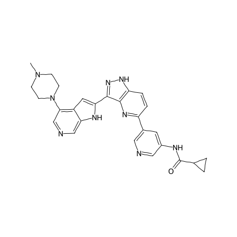 CN1CCN(c2cncc3[nH]c(-c4n[nH]c5ccc(-c6cncc(NC(=O)C7CC7)c6)nc45)cc23)CC1